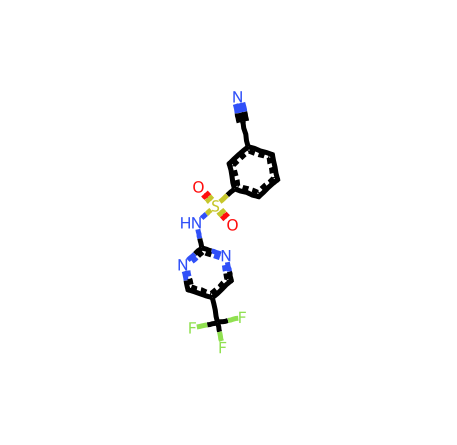 N#Cc1cccc(S(=O)(=O)Nc2ncc(C(F)(F)F)cn2)c1